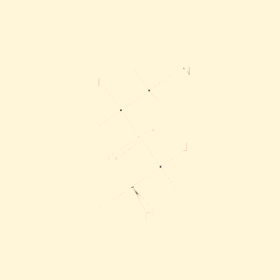 N#CC(F)(F)C(F)(F)S(=O)(=O)C(F)(F)C(F)(F)C(F)(F)F